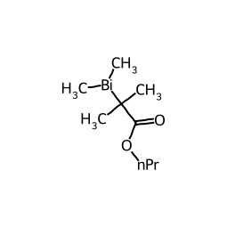 CCCOC(=O)[C](C)(C)[Bi]([CH3])[CH3]